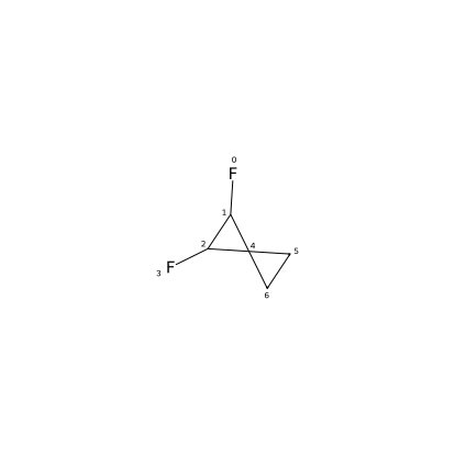 FC1C(F)C12CC2